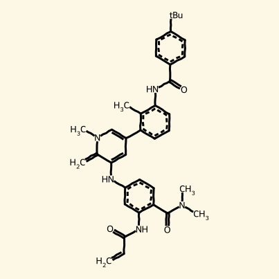 C=CC(=O)Nc1cc(NC2=CC(c3cccc(NC(=O)c4ccc(C(C)(C)C)cc4)c3C)=CN(C)C2=C)ccc1C(=O)N(C)C